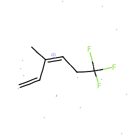 C=C/C(C)=C\CC(F)(F)F